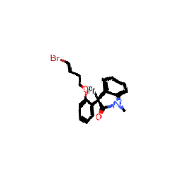 CC(C)C1(c2ccccc2OCCCCBr)C(=O)N(C)c2ccccc21